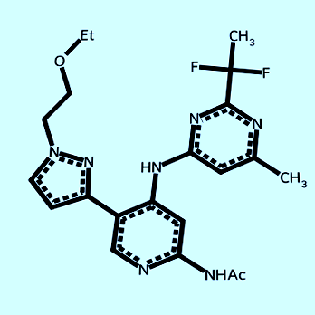 CCOCCn1ccc(-c2cnc(NC(C)=O)cc2Nc2cc(C)nc(C(C)(F)F)n2)n1